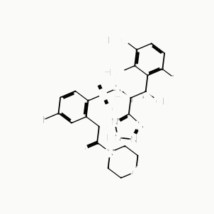 Cc1ccc(F)c([C@@H](C)[C@H](NS(=O)(=O)c2ccc(Cl)cc2CC(=O)N2CCOCC2)c2nn[nH]n2)c1C